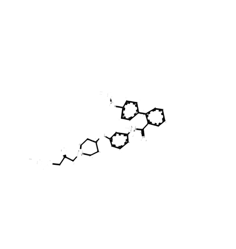 CCOC(=O)CC(=O)CN1CCC(Oc2cccc(NC(=O)c3ccccc3-c3ccc(OC(F)(F)F)cc3)c2)CC1